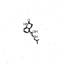 CC(C)CNC[C@H](O)c1cccc2[nH]c(=O)ccc12